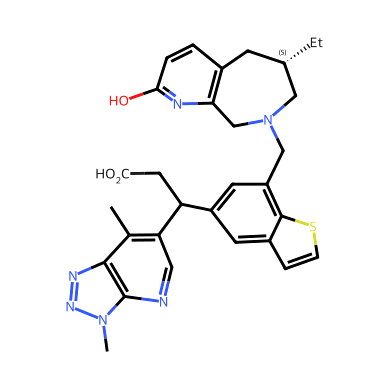 CC[C@H]1Cc2ccc(O)nc2CN(Cc2cc(C(CC(=O)O)c3cnc4c(nnn4C)c3C)cc3ccsc23)C1